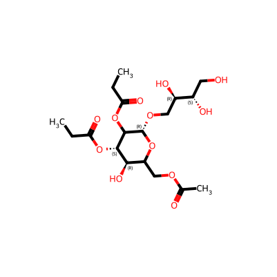 CCC(=O)OC1[C@H](OC[C@@H](O)[C@@H](O)CO)OC(COC(C)=O)[C@@H](O)[C@@H]1OC(=O)CC